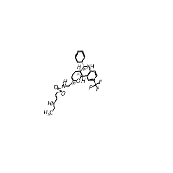 CCNCCS(=O)(=O)NC[C@H]1CC[C@@H]2[C@H](O1)c1cc(C(F)(F)F)ccc1N[C@H]2C1C=CC=CC1